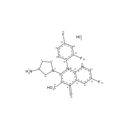 Cl.NC1CCN(c2c(C(=O)O)c(=O)c3cc(F)cnc3n2-c2ccc(F)cc2F)C1